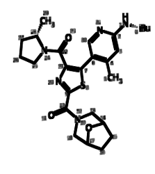 CC[C@@H](C)Nc1cc(C)c(-c2sc(C(=O)N3CC4CCC(C3)O4)nc2C(=O)N2CCC[C@@H]2C)cn1